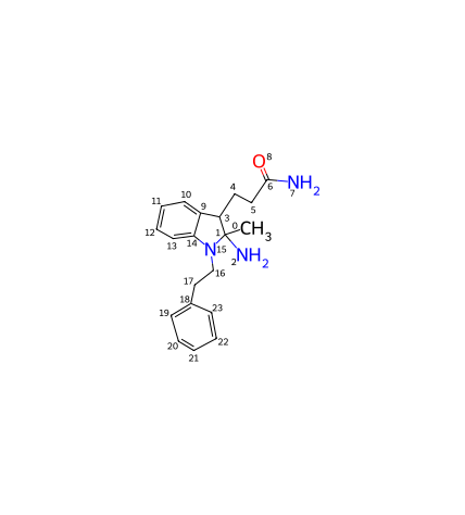 CC1(N)C(CCC(N)=O)c2ccccc2N1CCc1ccccc1